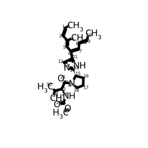 C\C=C/C(C)=C/C(=C\C=C\C)c1cnc([C@@H]2CCCN2C(=O)[C@@H](NC(=O)OC)C(C)C)[nH]1